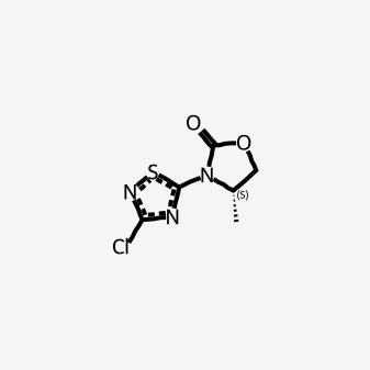 C[C@H]1COC(=O)N1c1nc(Cl)ns1